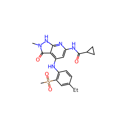 CCc1ccc(Nc2cc(NC(=O)C3CC3)nc3[nH]n(C)c(=O)c23)c(S(C)(=O)=O)c1